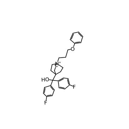 OC(c1ccc(F)cc1)(c1ccc(F)cc1)C12CC[N+](CCCOc3ccccc3)(CC1)CC2